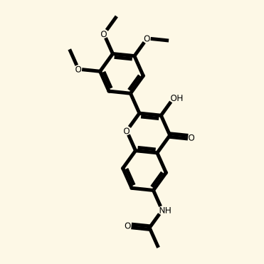 COc1cc(-c2oc3ccc(NC(C)=O)cc3c(=O)c2O)cc(OC)c1OC